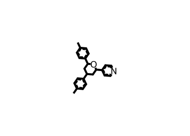 Cc1ccc(C2CC(c3ccncc3)OC(c3ccc(C)cc3)C2)cc1